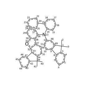 CC1(C)c2ccccc2-c2ccc(N(c3ccccc3-c3ccccc3)c3cccc4oc5c6c(ccc5c34)C(C)(C)c3ccccc3-6)cc21